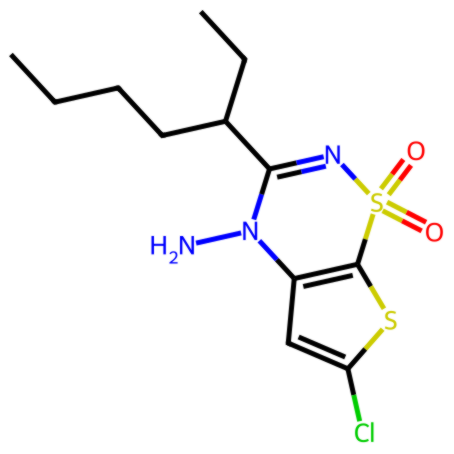 CCCCC(CC)C1=NS(=O)(=O)c2sc(Cl)cc2N1N